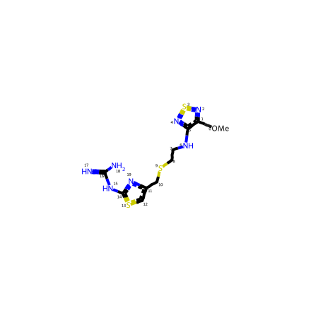 COc1nsnc1NCCSCc1csc(NC(=N)N)n1